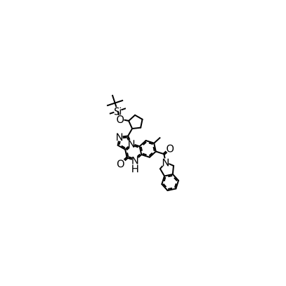 Cc1cc2c(cc1C(=O)N1Cc3ccccc3C1)[nH]c(=O)c1cnc(C3CCCC3O[Si](C)(C)C(C)(C)C)n12